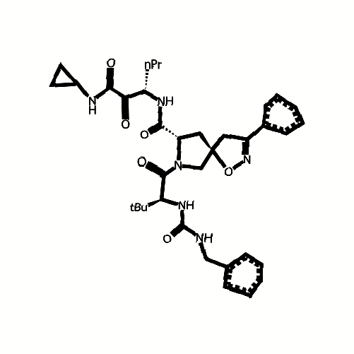 CCC[C@H](NC(=O)[C@@H]1C[C@]2(CC(c3ccccc3)=NO2)CN1C(=O)[C@@H](NC(=O)NCc1ccccc1)C(C)(C)C)C(=O)C(=O)NC1CC1